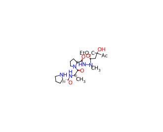 CCOC(=O)C(O)(CC(=O)N(C)NC(=O)[C@@H]1CCCN1C(=O)[C@H](C)NC(=O)[C@@H]1CCCN1)C(C)=O